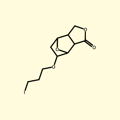 O=C1OCC2C3CC(OCCCI)C(O3)C12